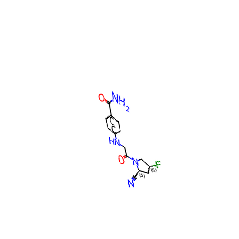 N#C[C@@H]1C[C@H](F)CN1C(=O)CNC12CCC(C(N)=O)(CC1)CC2